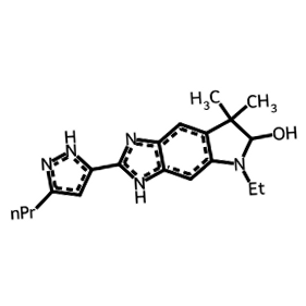 CCCc1cc(-c2nc3cc4c(cc3[nH]2)N(CC)C(O)C4(C)C)[nH]n1